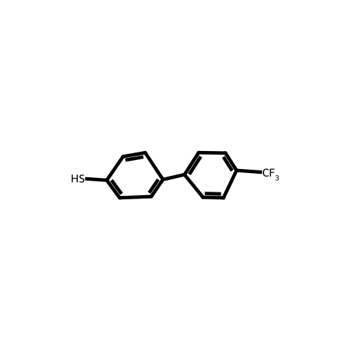 FC(F)(F)c1ccc(-c2ccc(S)cc2)cc1